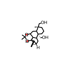 C=C1[C@H]2CC[C@@]34C(C2)[C@]2(CO)CCC[C@@](C)(CO)C2C[C@H]3OC(C)(C)O[C@@H]14